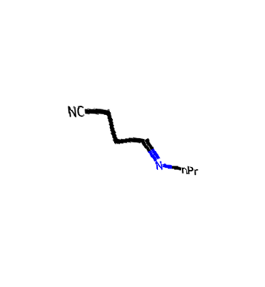 CCCN=CCCC#N